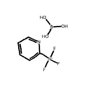 F[N+](F)(F)c1ccccn1.OB(O)O